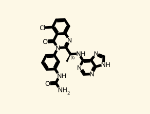 C[C@H](Nc1ncnc2[nH]cnc12)c1nc2cccc(Cl)c2c(=O)n1-c1cccc(NC(N)=O)c1